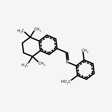 Cc1cccc(C(=O)O)c1N=Cc1ccc2c(c1)C(C)(C)CCC2(C)C